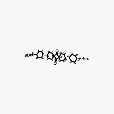 CCCCCCCCCC[C@H]1CC[C@H](C2CCC3(CC2)C(=O)C2(CCC([C@H]4CC[C@H](CCCCCC)CC4)CC2)C3=O)CC1